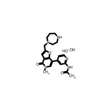 CC(=O)Nc1cc(-c2cn(C)c(=O)c3cc(CN4CCCNCC4)oc23)ccn1.Cl.Cl